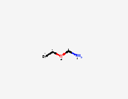 CCCOCN